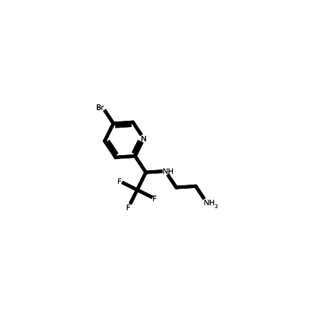 NCCNC(c1ccc(Br)cn1)C(F)(F)F